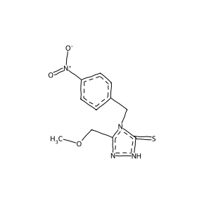 COCc1n[nH]c(=S)n1Cc1ccc([N+](=O)[O-])cc1